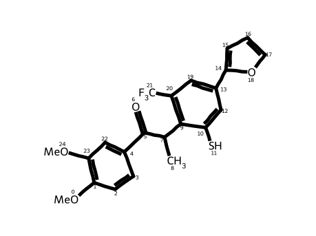 COc1ccc(C(=O)C(C)c2c(S)cc(-c3ccco3)cc2C(F)(F)F)cc1OC